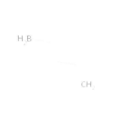 BC=CC=C